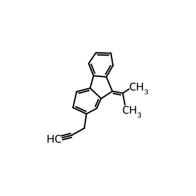 C#CCc1ccc2c(c1)C(=C(C)C)c1ccccc1-2